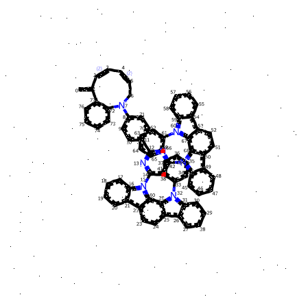 C=C1/C=C\C=C/CN(c2ccc(-c3nc(-n4c5ccccc5c5ccc6c7ccccc7n(-c7ccccc7)c6c54)cc(-n4c5ccccc5c5ccc6c7ccccc7n(-c7ccccc7)c6c54)n3)cc2)c2ccccc21